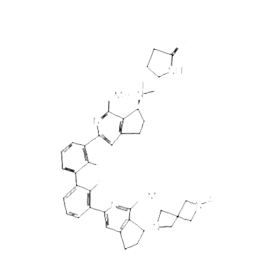 COc1nc(-c2cccc(-c3cccc(-c4cc5c(c(OC)n4)[C@H](N4CC6(CN(C(C)=O)C6)C4)CC5)c3Cl)c2Cl)cc2c1[C@@H](NC[C@@H]1CCC(=O)N1)CC2